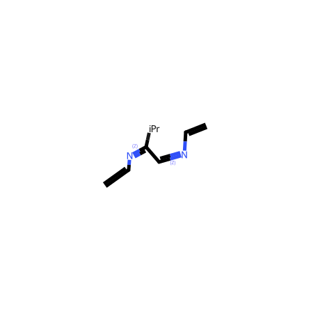 C=C/N=C\C(=N/C=C)C(C)C